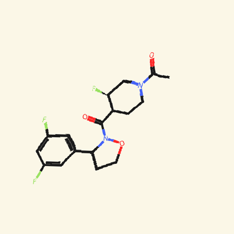 CC(=O)N1CCC(C(=O)N2OCCC2c2cc(F)cc(F)c2)[C@@H](F)C1